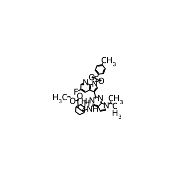 CCOC(=O)[C@@H]1C2CCC(CC2)[C@H]1Nc1nc(-c2cn(S(=O)(=O)c3ccc(C)cc3)c3ncc(F)cc23)nc2c1ccn2C(C)C